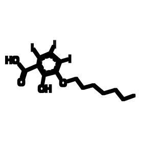 CCCCCCCOc1c(O)c(C(=O)O)c(I)c(I)c1I